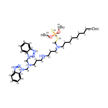 CCCCCCCCCCCCCCCCCCN(CCCNCCCN(Cn1nnc2ccccc21)Cn1nnc2ccccc21)CSP(=S)(OCCCC)OCCCC